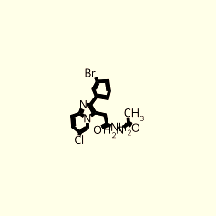 CC(N)=O.NC(=O)Cc1c(-c2cccc(Br)c2)nc2ccc(Cl)cn12